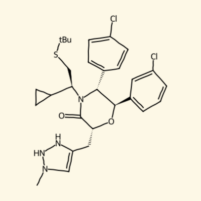 CN1C=C(C[C@H]2O[C@H](c3cccc(Cl)c3)[C@@H](c3ccc(Cl)cc3)N([C@H](CSC(C)(C)C)C3CC3)C2=O)NN1